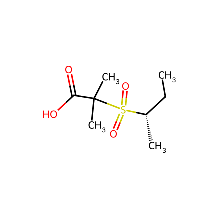 CC[C@H](C)S(=O)(=O)C(C)(C)C(=O)O